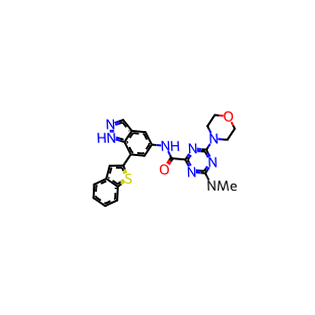 CNc1nc(C(=O)Nc2cc(-c3cc4ccccc4s3)c3[nH]ncc3c2)nc(N2CCOCC2)n1